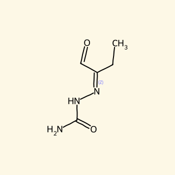 CC/C(C=O)=N/NC(N)=O